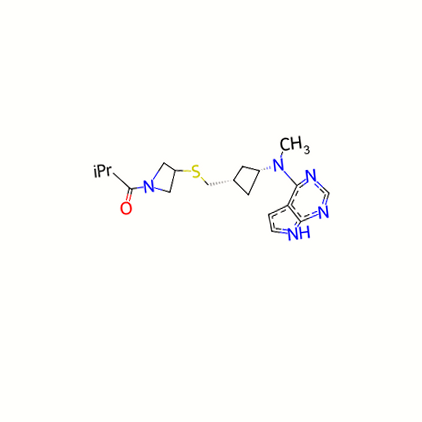 CC(C)C(=O)N1CC(SC[C@H]2C[C@@H](N(C)c3ncnc4[nH]ccc34)C2)C1